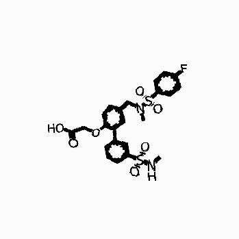 CNS(=O)(=O)c1cccc(-c2cc(CN(C)S(=O)(=O)c3ccc(F)cc3)ccc2OCC(=O)O)c1